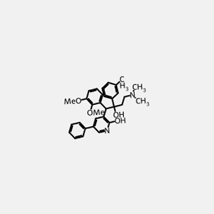 COc1cccc(C(c2cc(-c3ccccc3)cnc2O)C(O)(CCN(C)C)C2=C=C=CC(C)=C2)c1OC